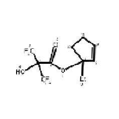 CCC1(OC(=O)C(O)(C(F)(F)F)C(F)(F)F)C=CCC1